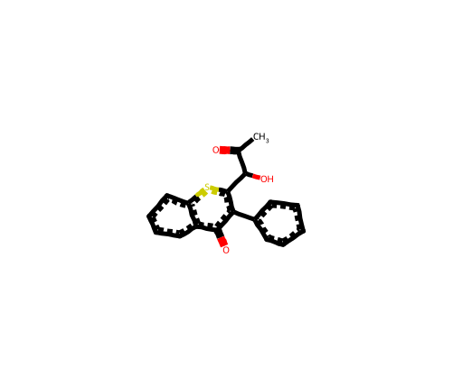 CC(=O)C(O)c1sc2ccccc2c(=O)c1-c1ccccc1